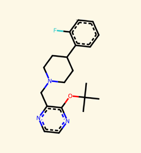 CC(C)(C)Oc1nccnc1CN1CCC(c2ccc[c]c2F)CC1